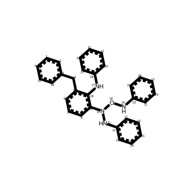 c1ccc(Cc2cccc(N(Nc3ccccc3)ONc3ccccc3)c2Nc2ccccc2)cc1